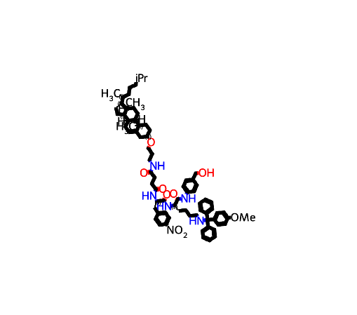 COc1ccc(C(NCCCC[C@H](NC(=O)[C@H](Cc2ccc([N+](=O)[O-])cc2)NC(=O)CCC(=O)NCCCO[C@H]2CC[C@@]3(C)C(=CC[C@H]4[C@@H]5CC[C@H]([C@H](C)CCCC(C)C)[C@@]5(C)CC[C@@H]43)C2)C(=O)Nc2ccc(CO)cc2)(c2ccccc2)c2ccccc2)cc1